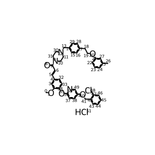 COc1cc(C=CC(=O)N2CCN(Cc3ccc(CCOc4cccc(C)c4)cc3)CC2)ccc1Oc1ccc(OCc2ccccc2Cl)cn1.Cl